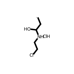 Cl.[CH2]CC(O)NCCCl